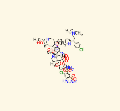 CC[C@]1(O)C[C@H]2C[N@](CCc3c([nH]c4ccccc34)[C@@](C(=O)OC)(c3cc4c(cc3OC)N(C=O)[C@H]3[C@@](O)(C(=O)OC)[C@H](OC(C)=O)[C@]5(CC)C=CCN6CC[C@]43[C@@H]65)C2)C1.CN(C)CC[C@@H](c1ccc(Cl)cc1)c1ccccn1.NS(=O)(=O)c1cc2c(cc1Cl)NCNS2(=O)=O